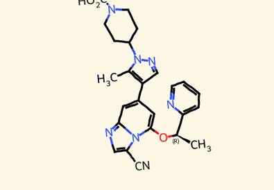 Cc1c(-c2cc(O[C@H](C)c3ccccn3)n3c(C#N)cnc3c2)cnn1C1CCN(C(=O)O)CC1